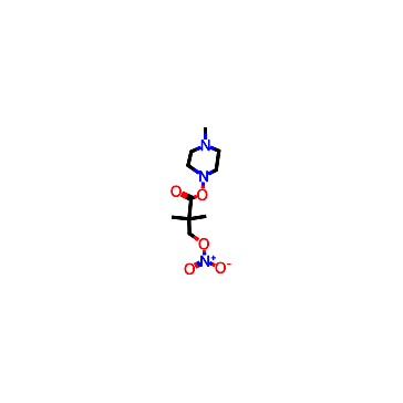 CN1CCN(OC(=O)C(C)(C)CO[N+](=O)[O-])CC1